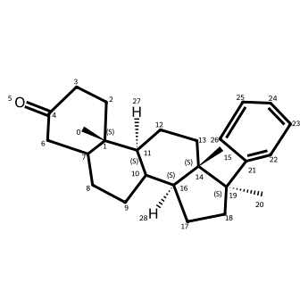 C[C@]12CCC(=O)CC1CCC1[C@@H]2CC[C@@]2(C)[C@H]1CC[C@]2(C)c1ccccc1